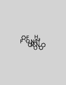 Cc1nc2c(OCc3c(F)cccc3F)cccn2c1C(=O)Nc1cccc2ccccc12